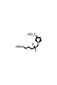 CCCCCCCCCCCCC(F)(F)Cn1ccc(C(=O)O)c1